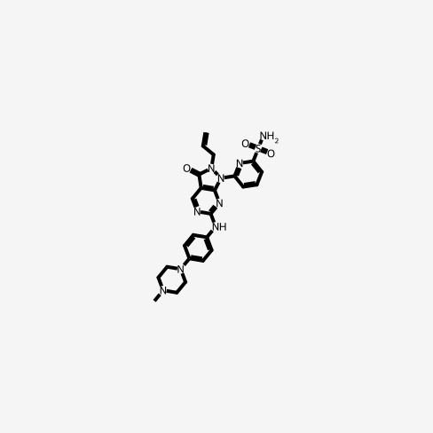 C=CCn1c(=O)c2cnc(Nc3ccc(N4CCN(C)CC4)cc3)nc2n1-c1cccc(S(N)(=O)=O)n1